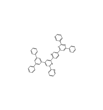 c1ccc(-c2cc(-c3ccccc3)cc(-c3cc(-c4ccccn4)nc(-c4ccc(-c5cc(-c6ccccc6)nc(-c6ccccc6)n5)cn4)c3)c2)cc1